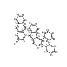 Fc1cc2c3c(c1)-n1c4ccc(-c5ccccc5)c(-c5ccccc5)c4c4cccc(c41)B3c1ccccc1S2